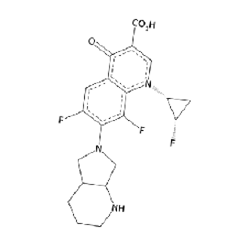 O=C(O)c1cn([C@@H]2C[C@@H]2F)c2c(F)c(N3CC4CCCNC4C3)c(F)cc2c1=O